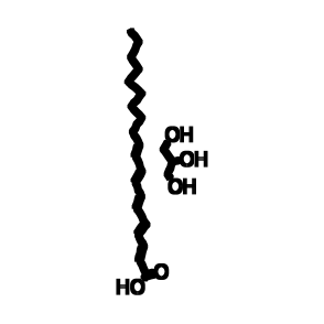 CCCCCCCCCC=CC=CC=CC=CC=CC(=O)O.OCC(O)CO